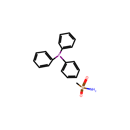 CS(N)(=O)=O.c1ccc(P(c2ccccc2)c2ccccc2)cc1